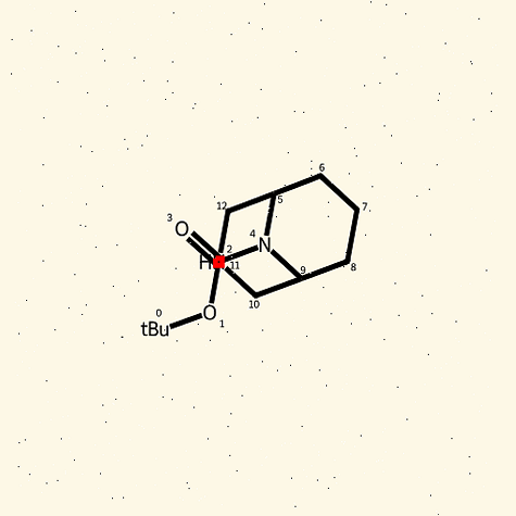 CC(C)(C)OC(=O)N1C2CCCC1CNC2